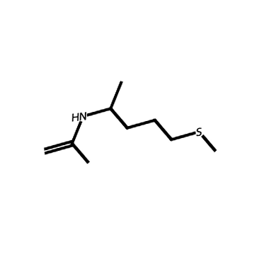 C=C(C)NC(C)CCCSC